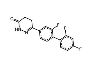 O=C1CCC(c2ccc(-c3ccc(F)cc3F)c(F)c2)=NN1